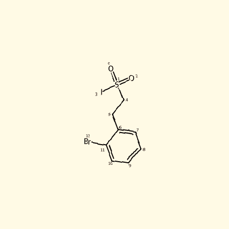 O=S(=O)(I)CCc1ccccc1Br